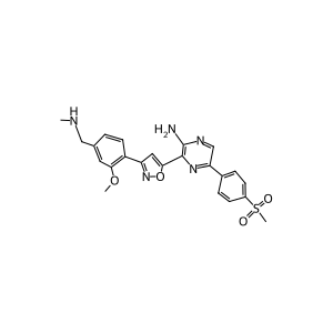 CNCc1ccc(-c2cc(-c3nc(-c4ccc(S(C)(=O)=O)cc4)cnc3N)on2)c(OC)c1